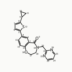 O=C1c2cc(-c3ccc(C4CC4)s3)ccc2OCCN1Cc1ncccn1